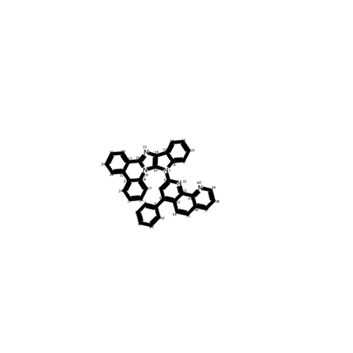 c1ccc(-c2cc(-n3c4ccccc4c4nc5c6ccccc6c6ccccc6n5c43)nc3c2ccc2cccnc23)cc1